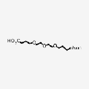 CCCCCCCCCCCCOCCOCCOCCCC(=O)O